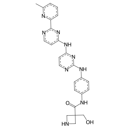 Cc1cccc(-c2nccc(Nc3ccnc(Nc4ccc(NC(=O)C5(CO)CNC5)cc4)n3)n2)n1